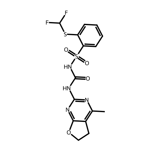 Cc1nc(NC(=O)NS(=O)(=O)c2ccccc2SC(F)F)nc2c1CCO2